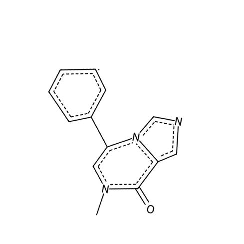 Cn1cc(-c2c[c]ccc2)n2cncc2c1=O